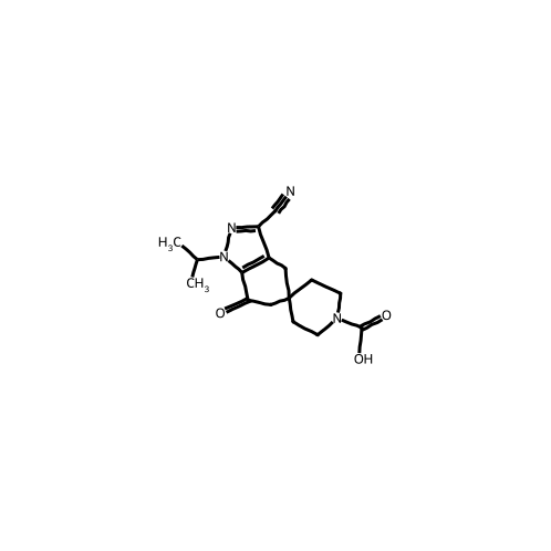 CC(C)n1nc(C#N)c2c1C(=O)CC1(CCN(C(=O)O)CC1)C2